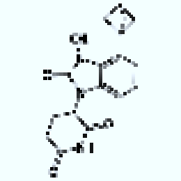 Cn1c(=O)n(C2CCC(=O)NC2=O)c2cccc(C34CC(C3)C4)c21